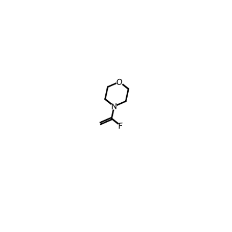 C=C(F)N1CCOCC1